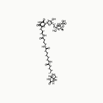 O=C(CCCNC(=O)CCCCCNC(=O)CCCC[C@@H]1SC[C@@H]2NC(=O)N[C@@H]21)NC=CCc1cn([C@H]2C[C@H](O)[C@@H](COP(=O)(O)OP(=O)(O)OP(=O)(O)O)O2)c(=O)[nH]c1=O